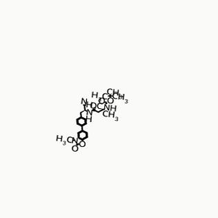 Cn1c(=O)oc2ccc(-c3ccc(C[C@@H](C#N)NC(=O)CC(C)(C)NC(=O)OC(C)(C)C)cc3)cc21